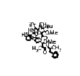 CC[C@H](C)[C@@H](C(CC(=O)N1CCC[C@H]1C(OC)[C@@H](C)C(=O)N[C@H](C)Cc1ccccc1)OC)N(C)C(=O)[C@@H](NC(=O)[C@H]1N[C@@H]2CC[C@H]1C2)C(C)C